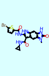 Cn1c(=O)[nH]c2cc3[nH]c(NC(=O)c4ccc(Br)s4)c(C(=O)NC4CC4)c3cc21